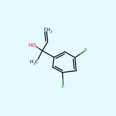 C=CC(C)(O)c1cc(F)cc(F)c1